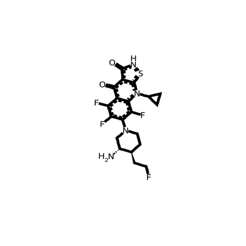 N[C@@H]1CN(c2c(F)c(F)c3c(=O)c4c(=O)[nH]sc4n(C4CC4)c3c2F)CC[C@H]1CCF